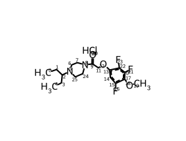 CCC(CC)N1CCN(C(=O)COc2cc(F)c(OC)c(F)c2F)CC1.Cl